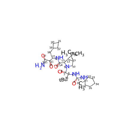 CC1(NC(=O)NC(C(=O)N2CC3C(C2C(=O)NC(CC2CCC2)C(=O)C(N)=O)C3(C)C)C(C)(C)C)CCCCC1